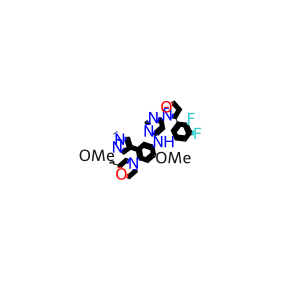 COC[C@@H]1CN(c2cc(OC)c(Nc3cc(N4OCC[C@@H]4c4cccc(F)c4F)ncn3)cc2-c2cnn(C)c2)CCO1